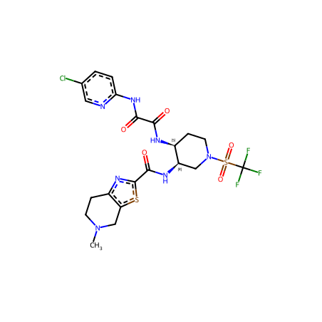 CN1CCc2nc(C(=O)N[C@@H]3CN(S(=O)(=O)C(F)(F)F)CC[C@@H]3NC(=O)C(=O)Nc3ccc(Cl)cn3)sc2C1